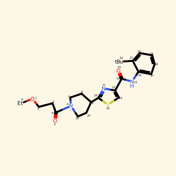 CCOCCC(=O)N1CCC(c2nc(C(=O)Nc3ccccc3C(C)(C)C)cs2)CC1